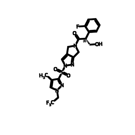 Cc1cn(CC(F)(F)F)nc1S(=O)(=O)n1cc2c(n1)CN(C(=O)[C@@H](CO)c1ccccc1F)C2